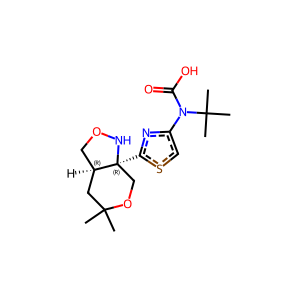 CC1(C)C[C@H]2CON[C@@]2(c2nc(N(C(=O)O)C(C)(C)C)cs2)CO1